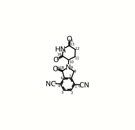 N#Cc1ccc(C#N)c2c1CN(C1CCC(=O)NC1=O)C2=O